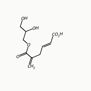 C=C(CC=CC(=O)O)C(=O)OCC(O)CO